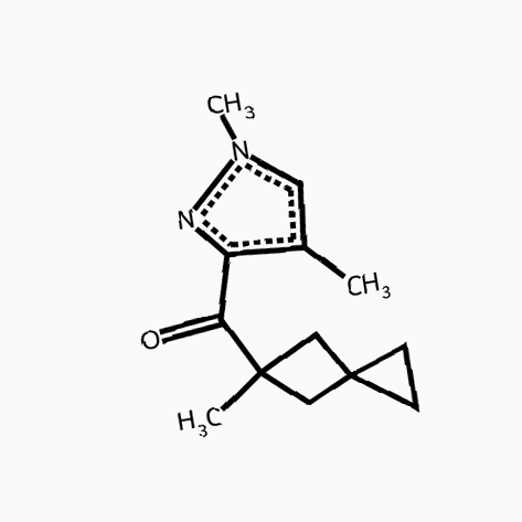 Cc1cn(C)nc1C(=O)C1(C)CC2(CC2)C1